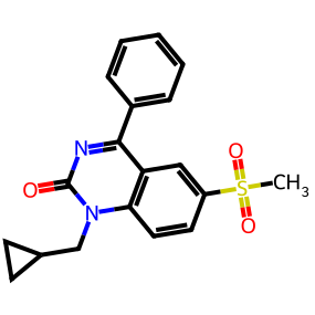 CS(=O)(=O)c1ccc2c(c1)c(-c1ccccc1)nc(=O)n2CC1CC1